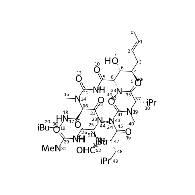 C/C=C/C[C@@H](C)[C@@H](O)[C@@H](C(=O)NC(=O)N(C)[C@H](CNCC(C)CC)C(=O)N(C)[C@H](C(=O)NC(=O)NC)C(C)CC)N(C)C(=O)[C@H](C(C)C)N(C)C(=O)N(C)C(=O)[C@H](CC(C)C)N(C)C=O